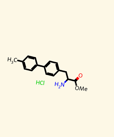 COC(=O)C(N)Cc1ccc(-c2ccc(C)cc2)cc1.Cl